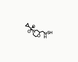 O=S(=O)(C1CC1)N1CCOC(CNS)C1